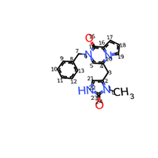 Cn1c(Cc2cn(Cc3ccccc3)c(=O)c3cccn23)c[nH]c1=O